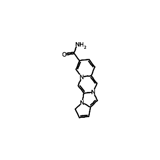 NC(=O)C1=CN2C=C3N(C=C2C=C1)C=C1C=CCN13